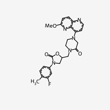 COc1ccc2nccc(N3CCN(CC4CN(c5ccc(C)c(F)c5)C(=O)O4)C(=O)C3)c2n1